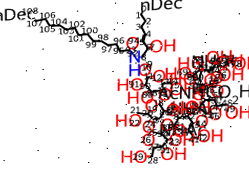 CCCCCCCCCCCCC/C=C/[C@@H](O)[C@H](CO[C@@H]1OC(CO)[C@@H](O[C@@H]2OC(CO)[C@H](O[C@@H]3OC(CO)[C@H](O)[C@H](O)C3NC(C)=O)[C@H](O[C@@H]3OC(CO)[C@@H](O[C@@H]4OC(CO)[C@H](O[C@@H]5OC(CO)[C@H](O)[C@H](O)C5NC(C)=O)[C@H](O[C@]5(C(=O)O)CC(O)[C@@H](NC(C)=O)C([C@H](O)[C@H](O)CO)O5)C4O)[C@H](O)C3NC(C)=O)C2O)[C@H](O)C1O)NC(=O)CCCCCCCCCCCCCCCCCCCCCCC